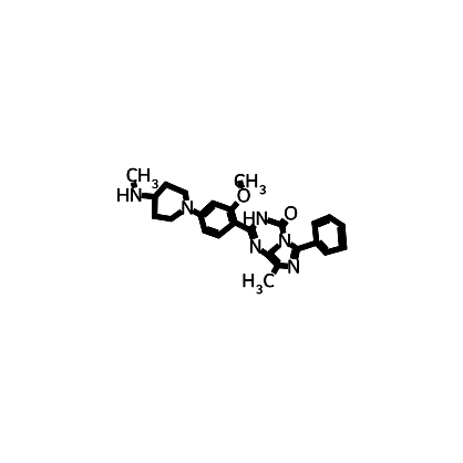 CNC1CCN(c2ccc(-c3nc4c(C)nc(-c5ccccc5)n4c(=O)[nH]3)c(OC)c2)CC1